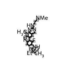 CCN(C)S(=O)(=O)Nc1ccc(F)c(-c2cc3cnc(NCCCNC)nc3n(C)c2=O)c1F